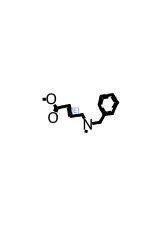 COC(=O)/C=C/CN(C)Cc1ccccc1